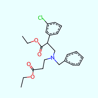 CCOC(=O)CCN(Cc1ccccc1)CC(C(=O)OCC)c1cccc(Cl)c1